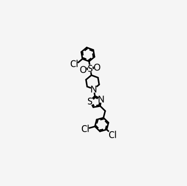 O=S(=O)(c1ccccc1Cl)C1CCN(c2nc(Cc3cc(Cl)cc(Cl)c3)cs2)CC1